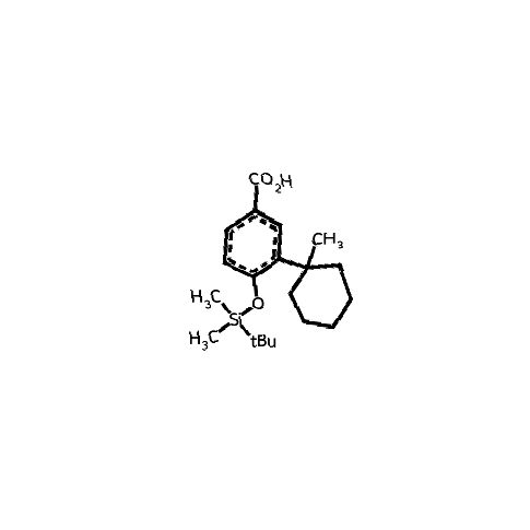 CC1(c2cc(C(=O)O)ccc2O[Si](C)(C)C(C)(C)C)CCCCC1